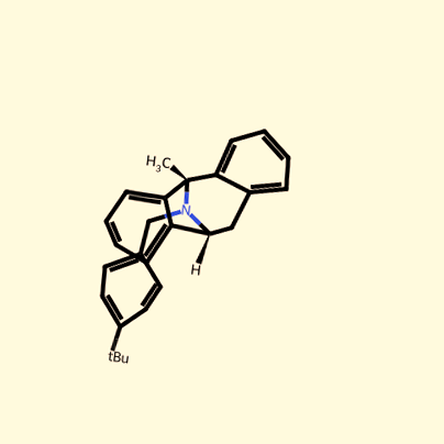 CC(C)(C)c1ccc(CN2[C@@H]3Cc4ccccc4[C@@]2(C)c2ccccc23)cc1